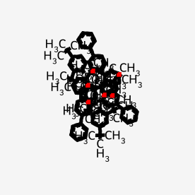 CC(C)c1cccc(C(C)C)c1P(OP(O)(c1cccc(-c2ccccc2)c1)(c1ccc(C(C)(C)C)cc1C(C)(C)C)c1ccc(C(C)(C)C)cc1C(C)(C)C)(OP(O)(c1cccc(-c2ccccc2)c1)(c1ccc(C(C)(C)C)cc1C(C)(C)C)c1ccc(C(C)(C)C)cc1C(C)(C)C)(c1ccc(-c2ccccc2)cc1)c1c(C(C)C)cccc1C(C)C